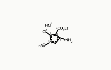 CCCCn1cc(N)c(C(=O)OCC)c1Cl.Cl